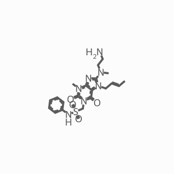 CC=CCn1c(N(C)CCN)nc2c1c(=O)n(CS(=O)(=O)Nc1ccccc1)c(=O)n2C